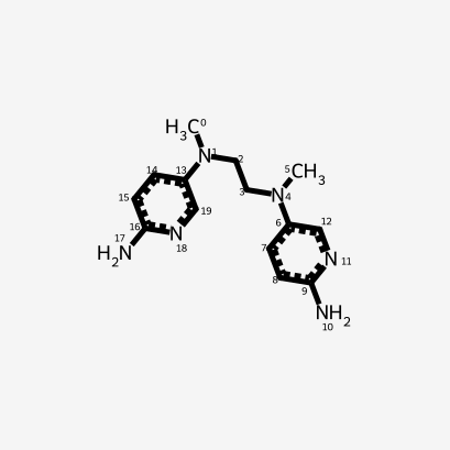 CN(CCN(C)c1ccc(N)nc1)c1ccc(N)nc1